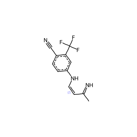 CC(=N)/C=C\Nc1ccc(C#N)c(C(F)(F)F)c1